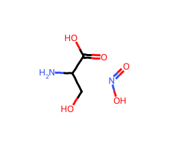 NC(CO)C(=O)O.O=NO